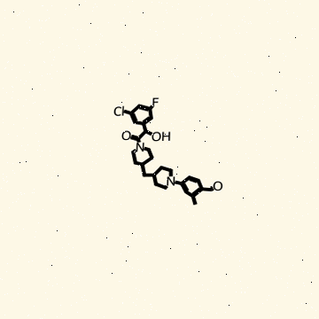 Cc1cc(N2CCC(CC3CCN(C(=O)C(O)c4cc(F)cc(Cl)c4)CC3)CC2)ccc1C=O